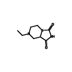 CCN1CCN2C(=O)NC(=O)C2C1